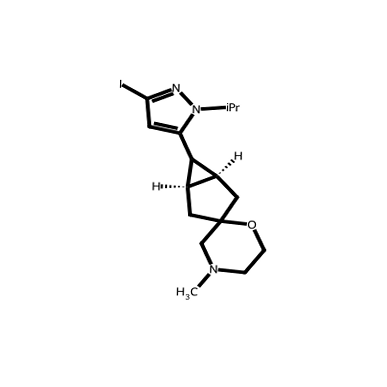 CC(C)n1nc(I)cc1C1[C@H]2CC3(C[C@@H]12)CN(C)CCO3